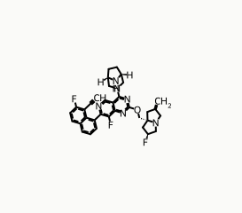 C#Cc1c(F)ccc2cccc(-c3ncc4c(N5C[C@H]6CC[C@@H](C5)N6)nc(OC[C@]56CC(=C)CN5C[C@@H](F)C6)nc4c3F)c12